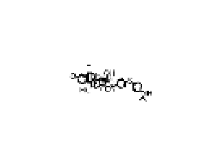 CC(C)Nc1ccc(Sc2ccc([C@@]3(C)O[C@@H]4C[C@H]5[C@@H]6C[C@H](F)C7=CC(=O)C=C[C@]7(C)[C@@]6(F)[C@@H](O)C[C@]5(C)[C@]4(C(=O)CO)O3)cc2)cc1